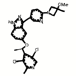 COC1(C)CN(c2ccc(-c3n[nH]c4ccc(O[C@H](C)c5c(Cl)cnc(C)c5Cl)cc34)cn2)C1